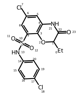 CCC1Oc2c(cc(Cl)cc2S(=O)(=O)Nc2ccc(Cl)cc2)NC1=O